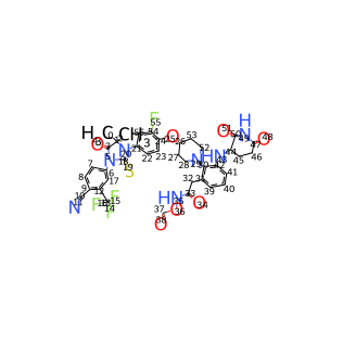 CC1(C)C(=O)N(c2ccc(C#N)c(C(F)(F)F)c2)C(=S)N1c1ccc(OC2CCN(c3c(CC(=O)NOC=O)cccc3NC3CCC(=O)NC3=O)CC2)c(F)c1